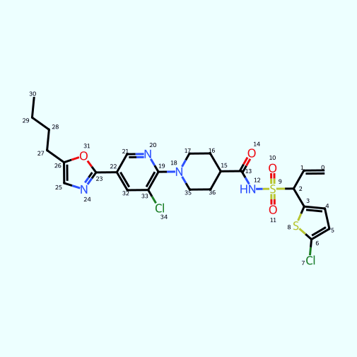 C=CC(c1ccc(Cl)s1)S(=O)(=O)NC(=O)C1CCN(c2ncc(-c3ncc(CCCC)o3)cc2Cl)CC1